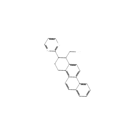 SCC1c2ccc3c(ccc4ccccc43)c2CCC1c1ncccn1